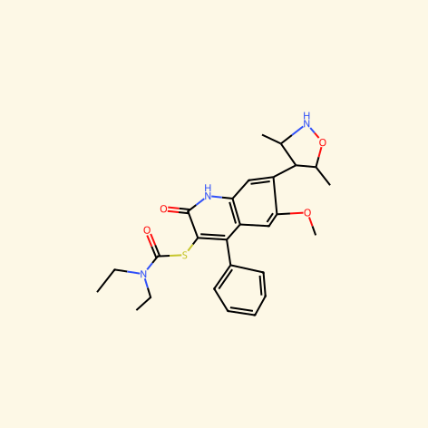 CCN(CC)C(=O)Sc1c(-c2ccccc2)c2cc(OC)c(C3C(C)NOC3C)cc2[nH]c1=O